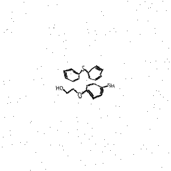 OCCOc1ccc(S)cc1.c1ccc(Sc2ccccc2)cc1